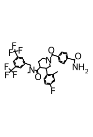 Cc1cc(F)ccc1C1CN(C(=O)c2ccc(C(N)=O)cc2)CCC1C(=O)N(C)Cc1cc(C(F)(F)F)cc(C(F)(F)F)c1